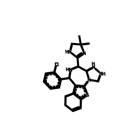 CC1(C)CNC(C2NC(c3ccccc3Cl)c3c(sc4c3CCC=C4)N3CNNC23)=N1